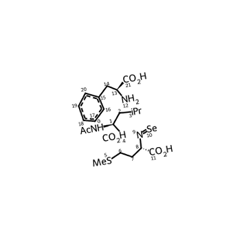 CC(=O)N[C@@H](CC(C)C)C(=O)O.CSCC[C@H](N=[Se])C(=O)O.N[C@@H](Cc1ccccc1)C(=O)O